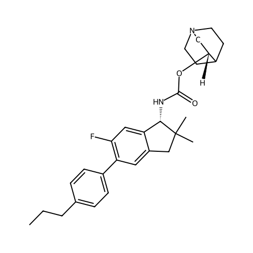 CCCc1ccc(-c2cc3c(cc2F)[C@H](NC(=O)O[C@@H]2CN4CCC2CC4)C(C)(C)C3)cc1